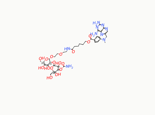 CN(Cc1cnc2nc(N)nc(N)c2n1)c1ccc(C(=O)OCCCCCC(=O)NCCOCCOC2O[C@@H](CO)[C@@H](O)[C@H](O)[C@@H]2O[C@H]2O[C@H](CO)[C@@H](O)[C@H](OC(N)=O)[C@@H]2O)cc1